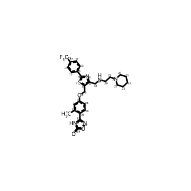 Cc1cc(OCc2sc(-c3ccc(C(F)(F)F)cc3)nc2CNCCN2CCCCC2)ccc1-c1noc(=O)[nH]1